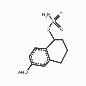 COc1ccc2c(c1)CCCC2OS(N)(=O)=O